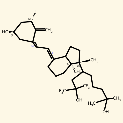 C=C1/C(=C\C=C2/CCC[C@@]3(C)C2CC[C@]3(C)C(CCCC(C)(C)O)CC(O)(C(F)(F)F)C(F)(F)F)C[C@@H](O)C[C@@H]1F